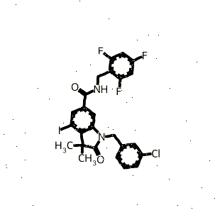 CC1(C)C(=O)N(Cc2cccc(Cl)c2)c2cc(C(=O)NCc3c(F)cc(F)cc3F)cc(I)c21